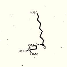 CCCCCCCCCCCCCCCCCC(=O)SC[Si](OC)(OC)OC